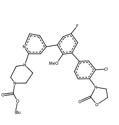 COc1c(-c2ccnc(N3CCN(C(=O)OC(C)(C)C)CC3)c2)cc(F)cc1-c1ccc(N2CCOC2=O)c(Cl)c1